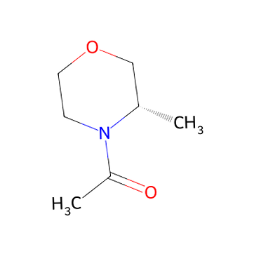 CC(=O)N1CCOC[C@@H]1C